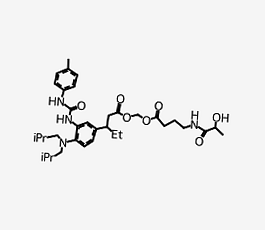 CCC(CC(=O)OCOC(=O)CCCNC(=O)C(C)O)c1ccc(N(CC(C)C)CC(C)C)c(NC(=O)Nc2ccc(C)cc2)c1